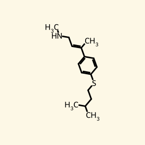 CNCC=C(C)c1ccc(SCCC(C)C)cc1